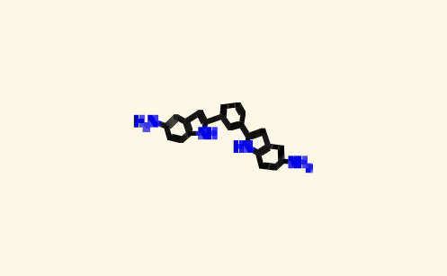 Nc1ccc2[nH]c(-c3cccc(-c4cc5cc(N)ccc5[nH]4)c3)cc2c1